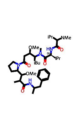 CCC(C)C(C(CC(=O)N1CCCC1C(OC)C(C)C(=O)NC(C)Cc1ccccc1)OC)N(C)C(=O)[C@@H](NC(=O)C(NC)C(C)C)C(C)C